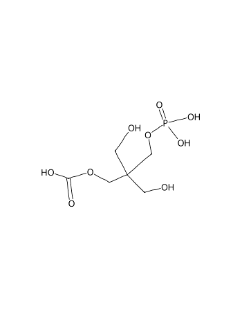 O=C(O)OCC(CO)(CO)COP(=O)(O)O